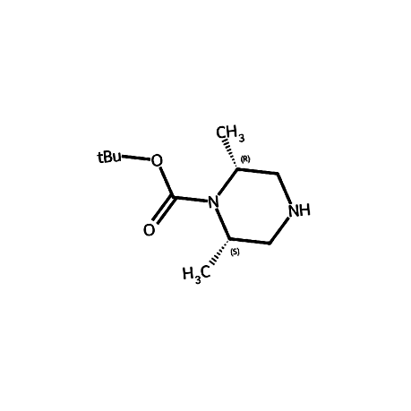 C[C@@H]1CNC[C@H](C)N1C(=O)OC(C)(C)C